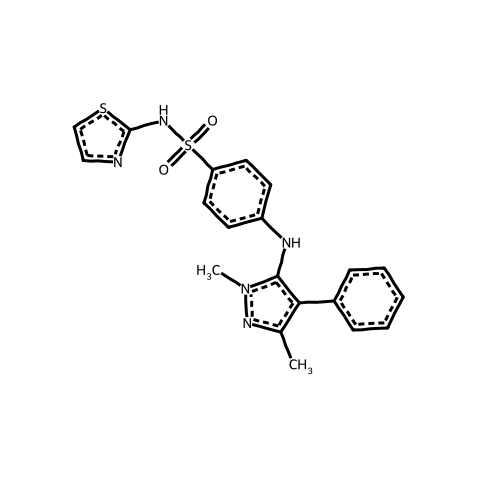 Cc1nn(C)c(Nc2ccc(S(=O)(=O)Nc3nccs3)cc2)c1-c1ccccc1